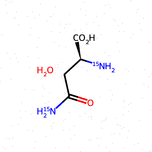 O.[15NH2]C(=O)C[C@H]([15NH2])C(=O)O